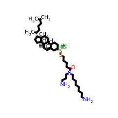 CC(C)CCCC(C)[C@H]1CC[C@H]2[C@@H]3CC=C4C[C@@H](SSCCCCC(=O)N(CCCN)CCCCCCCCN)CC[C@]4(C)[C@H]3CC[C@]12C.Cl.Cl